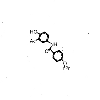 CCCOc1ccc(C(=O)Nc2ccc(O)c(C(C)=O)c2)cc1